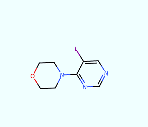 Ic1cncnc1N1CCOCC1